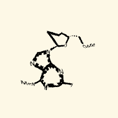 CNc1nc(F)nc2c1ncn2[C@H]1CC[C@H](COC)O1